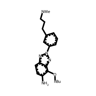 CCCCOc1c(N)[c]cc2nn(-c3cccc(CCCNC)c3)nc12